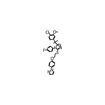 COc1cc(C(C)(C)c2nnc(SCCOc3ccc(-n4cccn4)cc3)n2-c2ccc(F)cc2)ccc1Cl